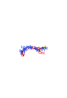 Cc1ncsc1-c1ccc(CNC(=O)[C@@H]2C[C@@H](O)CN2C(=O)[C@H](C(C)C)n2cc(COc3cnc(N4CCN(CC(=O)Nc5cn6cc(-c7cncc(N(C)C(=O)OC(C)C)c7)ncc6n5)CC4)nc3)nn2)cc1